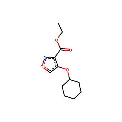 CCOC(=O)c1nocc1OC1CCCCC1